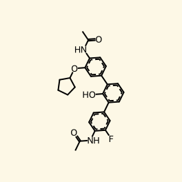 CC(=O)Nc1ccc(-c2cccc(-c3ccc(NC(C)=O)c(OC4CCCC4)c3)c2O)cc1F